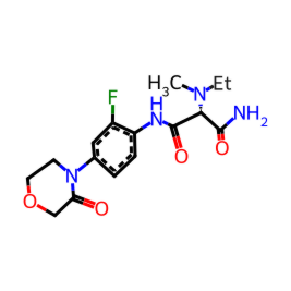 CCN(C)[C@H](C(N)=O)C(=O)Nc1ccc(N2CCOCC2=O)cc1F